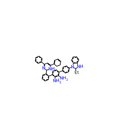 CCC1Nc2ccccc2N1c1ccc(-c2ccc(-c3ccccc3C3N=C(c4ccccc4)C=C(C4=CC=CCC4)N3)c(N)c2N)cc1